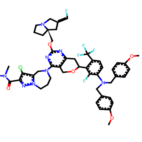 COc1ccc(CN(Cc2ccc(OC)cc2)c2ccc(C(F)(F)F)c(C3Cc4nc(OC[C@@]56CCCN5C/C(=C\F)C6)nc(N5CCCn6nc(C(=O)N(C)C)c(Cl)c6C5)c4CO3)c2F)cc1